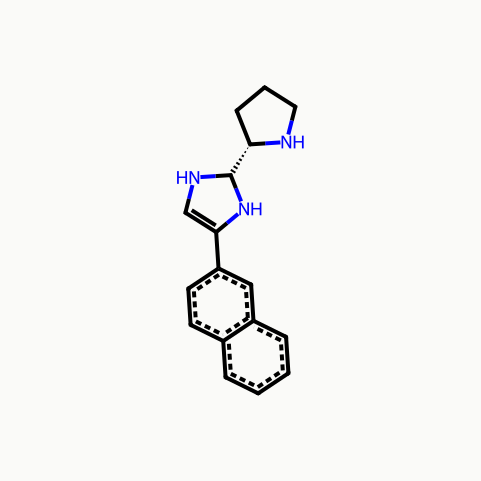 C1=C(c2ccc3ccccc3c2)NC([C@@H]2CCCN2)N1